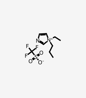 CCC[N+]1(CC)C=CN=C1.O=S(=O)([O-])C(F)(F)F